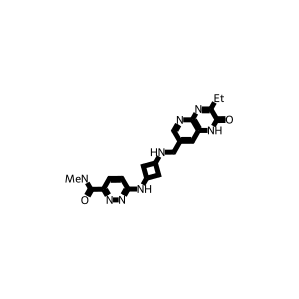 CCc1nc2ncc(CNC3CC(Nc4ccc(C(=O)NC)nn4)C3)cc2[nH]c1=O